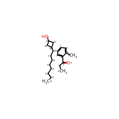 CCC(=O)c1ccccc1C.CCCCCCCCC1CC(O)C1